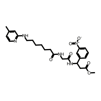 COC(=O)CC(NC(=O)CNC(=O)CCCCCCNc1cc(C)ccn1)c1cccc([N+](=O)[O-])c1